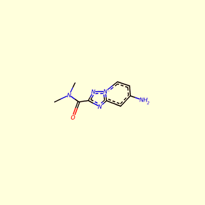 CN(C)C(=O)c1nc2cc(N)ccn2n1